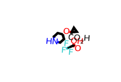 O=C(O)C(F)(F)F.O=C(O)C1(OC2CCNCC2)CC1